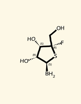 B[C@@H]1S[C@](F)(CO)[C@@H](O)[C@H]1O